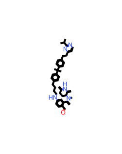 C=C1CCC(N(C)C(=C)c2cc(NCCCCc3ccc(C(C)(C)c4ccc(CCc5ccnc(C(C)C)n5)cc4)cc3)ccc2C=O)C(=C)N1